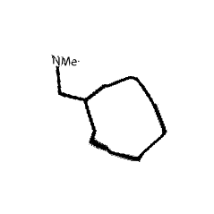 C[N]CC1CCCCCCC1